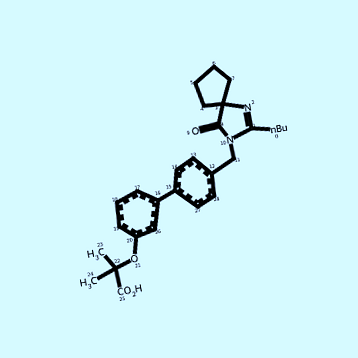 CCCCC1=NC2(CCCC2)C(=O)N1Cc1ccc(-c2cccc(OC(C)(C)C(=O)O)c2)cc1